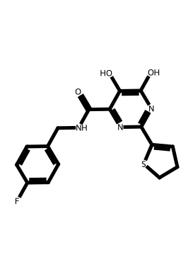 O=C(NCc1ccc(F)cc1)c1nc(C2=CCCS2)nc(O)c1O